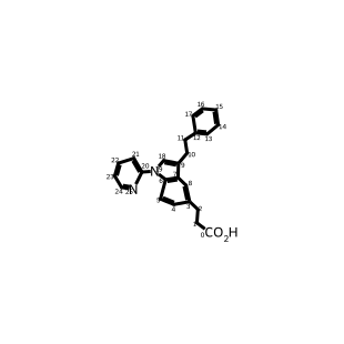 O=C(O)CCc1ccc2c(c1)c(CCc1ccccc1)cn2-c1ccccn1